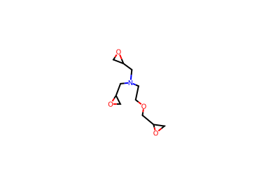 C(CN(CC1CO1)CC1CO1)OCC1CO1